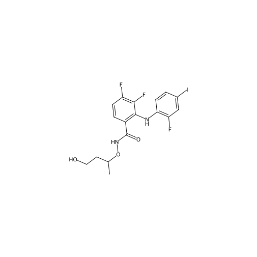 CC(CCO)ONC(=O)c1ccc(F)c(F)c1Nc1ccc(I)cc1F